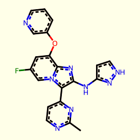 Cc1nccc(-c2c(Nc3cc[nH]n3)nc3c(Oc4cccnc4)cc(F)cn23)n1